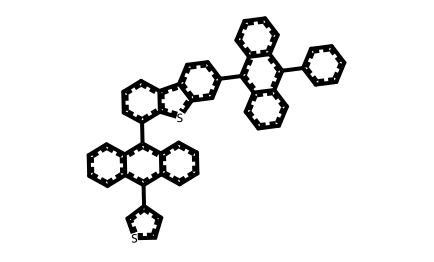 c1ccc(-c2c3ccccc3c(-c3ccc4c(c3)sc3c(-c5c6ccccc6c(-c6ccsc6)c6ccccc56)cccc34)c3ccccc23)cc1